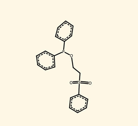 O=S(=O)(CCOP(c1ccccc1)c1ccccc1)c1ccccc1